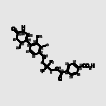 Cc1c(OCC(F)(F)COC(=O)c2ccc(C(=O)O)cc2)ccc(C2=NNC(=O)CC2C)c1F